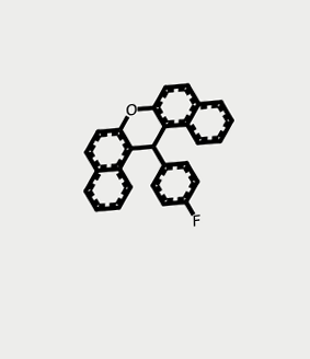 Fc1ccc(C2c3c(ccc4ccccc34)Oc3ccc4ccccc4c32)cc1